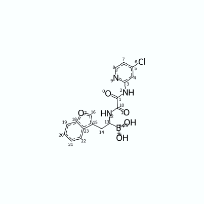 O=C(Nc1cc(Cl)ccn1)C(=O)NC(Cc1coc2ccccc12)B(O)O